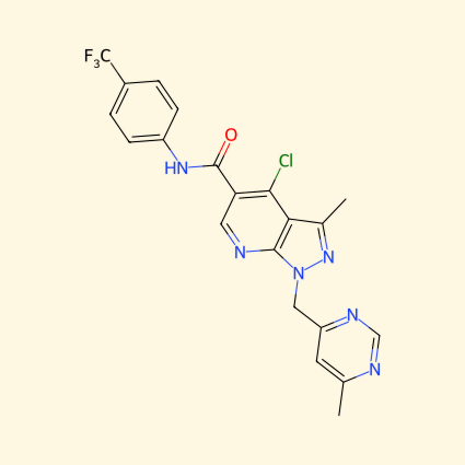 Cc1cc(Cn2nc(C)c3c(Cl)c(C(=O)Nc4ccc(C(F)(F)F)cc4)cnc32)ncn1